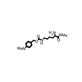 CNC(=O)C(N)CCCCNC(=O)OCc1ccc(NC)cc1